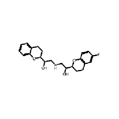 OC(CNCC(O)C1CCc2cc(F)ccc2O1)C1CCc2ccccc2O1